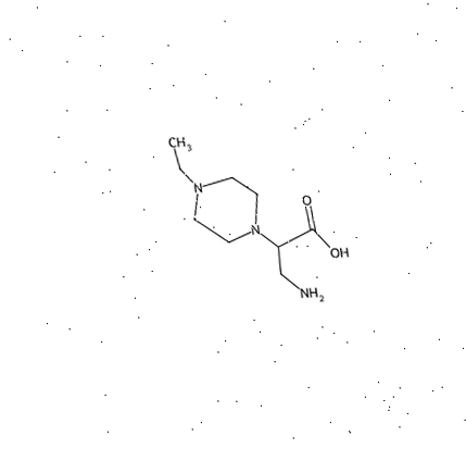 CCN1CCN(C(CN)C(=O)O)CC1